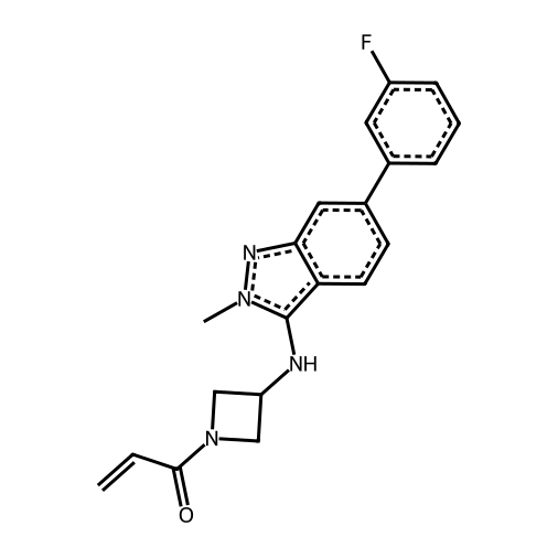 C=CC(=O)N1CC(Nc2c3ccc(-c4cccc(F)c4)cc3nn2C)C1